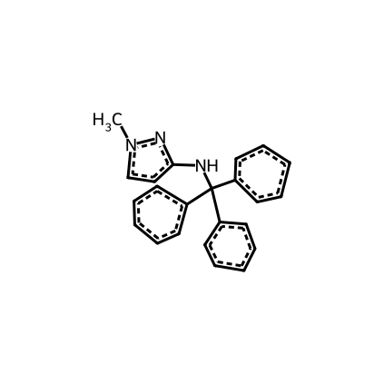 Cn1ccc(NC(c2ccccc2)(c2ccccc2)c2ccccc2)n1